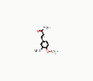 COC(=O)/C=C/c1ccc(OS(=O)(=O)O)c(OC)c1